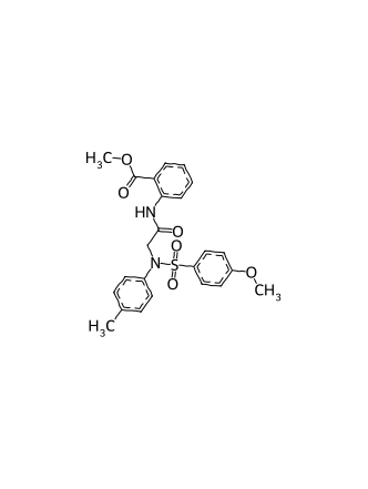 COC(=O)c1ccccc1NC(=O)CN(c1ccc(C)cc1)S(=O)(=O)c1ccc(OC)cc1